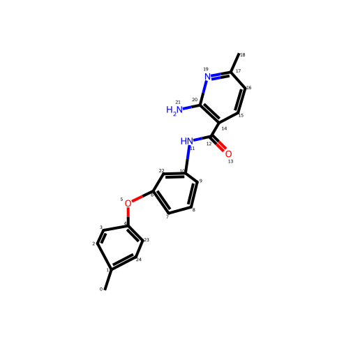 Cc1ccc(Oc2cccc(NC(=O)c3ccc(C)nc3N)c2)cc1